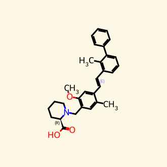 COc1cc(/C=C/c2cccc(-c3ccccc3)c2C)c(C)cc1CN1CCCC[C@@H]1C(=O)O